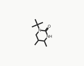 CC1CN(C(C)(C)C)C(=O)NC1C